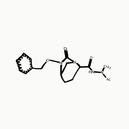 CC(=O)N(C)NC(=O)C1CCC2CN1C(=O)N2OCc1ccccc1